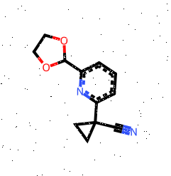 N#CC1(c2cccc(C3OCCO3)n2)CC1